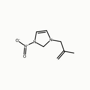 C=C(C)CN1C=CN([N+](=O)[O-])C1